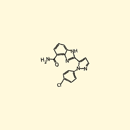 NC(=O)c1cccc2[nH]c(-c3ccnn3-c3ccc(Cl)cc3)nc12